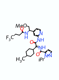 COCC(NC(=O)CCC(F)(F)F)c1ccnc(NC(=O)[C@@H](NC(=O)c2ccnn2C(C)C)C2CCC(C)CC2)c1